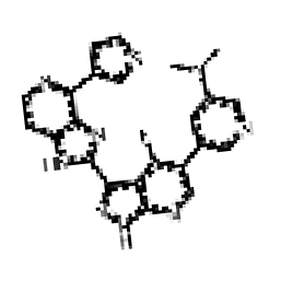 CN(C)c1cncc(-c2cnc3[nH]nc(-c4nc5c(-c6ccsc6)nccc5[nH]4)c3c2F)c1